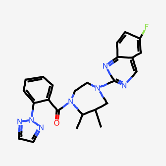 CC1CN(c2ncc3cc(F)ccc3n2)CCN(C(=O)c2ccccc2-n2nccn2)C1C